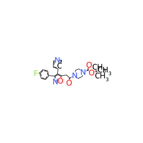 CC(C)(C)OC(=O)N1CCN(C(=O)Cc2onc(-c3ccc(F)cc3)c2-c2ccncc2)CC1